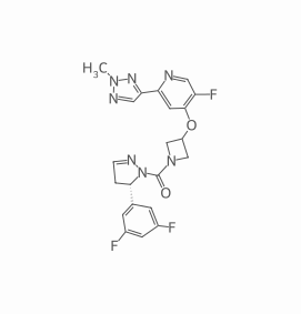 Cn1ncc(-c2cc(OC3CN(C(=O)N4N=CC[C@H]4c4cc(F)cc(F)c4)C3)c(F)cn2)n1